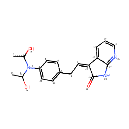 CC(O)N(c1ccc(CC=C2C(=O)Nc3ncccc32)cc1)C(C)O